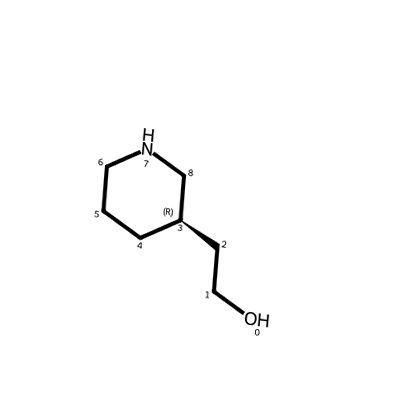 OCC[C@H]1CCCNC1